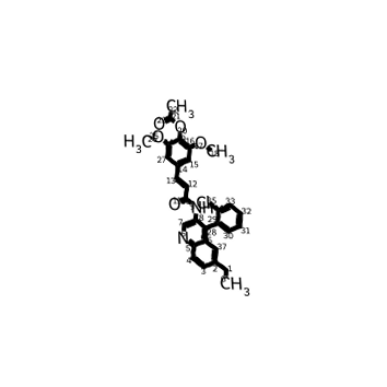 CCc1ccc2ncc(NC(=O)C=Cc3cc(OC)c(OC(C)=O)c(OC)c3)c(-c3ccccc3Cl)c2c1